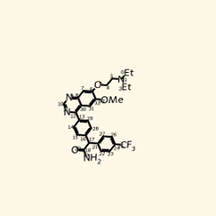 CCN(CC)CCOc1cc2ncnc(-c3ccc(C(C(N)=O)c4ccc(C(F)(F)F)cc4)cc3)c2cc1OC